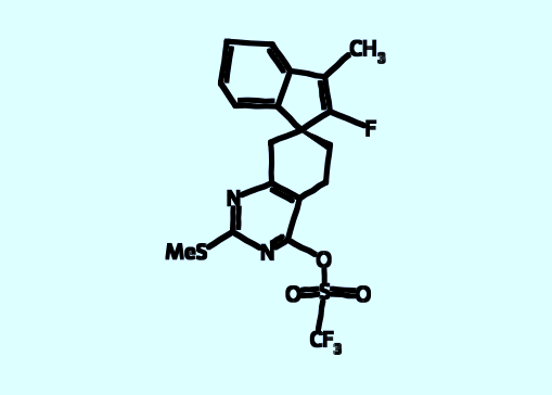 CSc1nc2c(c(OS(=O)(=O)C(F)(F)F)n1)CC[C@]1(C2)C(F)=C(C)c2ccccc21